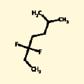 CCC(F)(F)CCC(C)C